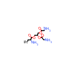 CC(C)C[C@H](N)C(=O)OCC(COC(=O)CN)OC(=O)CN